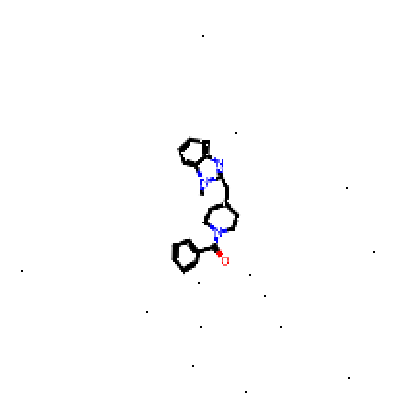 Cn1c(CC2CCN(C(=O)c3ccccc3)CC2)nc2ccccc21